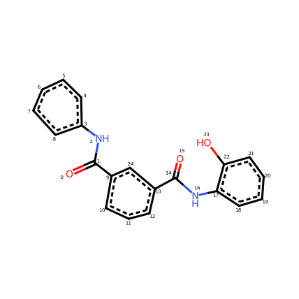 O=C(Nc1ccccc1)c1cccc(C(=O)Nc2ccccc2O)c1